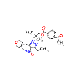 CCc1nn(CC(C)(C)COC(=O)c2ccc(C(C)=O)cc2)c2c1C(=O)NCC1(CCOCC1)C2